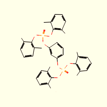 Cc1cccc(C)c1OP(=O)(Oc1cccc(OP(=O)(Oc2c(C)cccc2C)Oc2c(C)cccc2C)c1)Oc1c(C)cccc1C